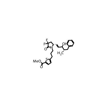 COC(=O)c1ccc(CCCN2C(=O)C(F)(F)C[C@@H]2C=CC(O)[C@@H](C)Cc2ccccc2)s1